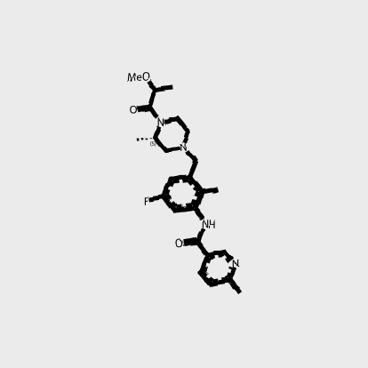 COC(C)C(=O)N1CCN(Cc2cc(F)cc(NC(=O)c3ccc(C)nc3)c2C)C[C@@H]1C